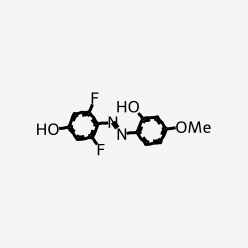 COc1ccc(N=Nc2c(F)cc(O)cc2F)c(O)c1